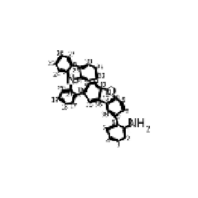 Nc1ccccc1-c1ccc2oc3ccc(-c4ccccc4-n4c5ccccc5c5ccccc54)cc3c2c1